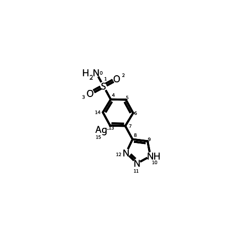 NS(=O)(=O)c1ccc(-c2c[nH]nn2)cc1.[Ag]